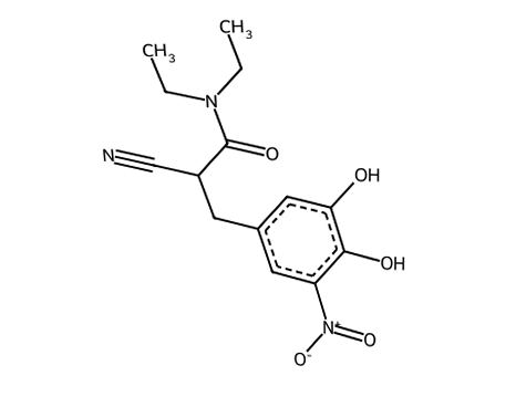 CCN(CC)C(=O)C(C#N)Cc1cc(O)c(O)c([N+](=O)[O-])c1